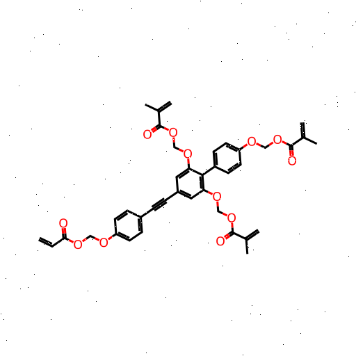 C=CC(=O)OCOc1ccc(C#Cc2cc(OCOC(=O)C(=C)C)c(-c3ccc(OCOC(=O)C(=C)C)cc3)c(OCOC(=O)C(=C)C)c2)cc1